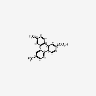 O=C(O)c1ccc(-c2ccc(C(F)(F)F)cc2)c(-c2ccc(C(F)(F)F)cc2)c1